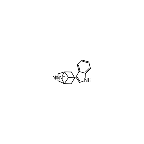 [N-]=[N+]1C23CCCC1(CC2)C3c1c[nH]c2ccccc12